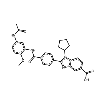 COc1ccc(NC(C)=O)cc1NC(=O)c1ccc(-c2nc3cc(C(=O)O)ccc3n2C2CCCC2)cc1